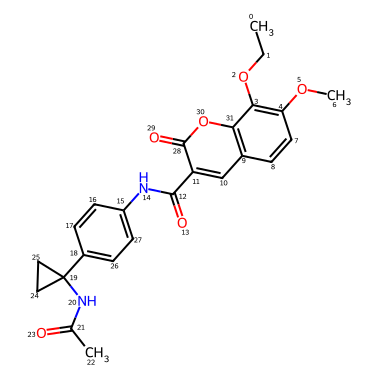 CCOc1c(OC)ccc2cc(C(=O)Nc3ccc(C4(NC(C)=O)CC4)cc3)c(=O)oc12